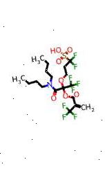 C=C(C(=O)OC(OCCC(F)(F)S(=O)(=O)O)(C(=O)N(CCCC)CCCC)C(F)(F)F)C(F)(F)F